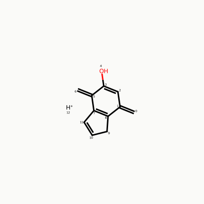 C=c1cc(O)c(=C)c2c1CC=C2.[H+]